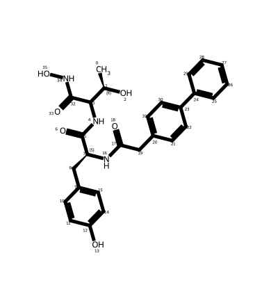 C[C@@H](O)C(NC(=O)[C@H](Cc1ccc(O)cc1)NC(=O)Cc1ccc(-c2ccccc2)cc1)C(=O)NO